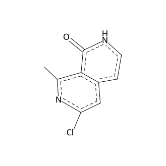 Cc1nc(Cl)cc2cc[nH]c(=O)c12